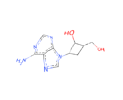 Nc1ncnc2c1ncn2C1CC(CO)C1O